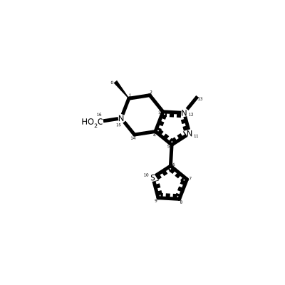 C[C@H]1Cc2c(c(-c3cccs3)nn2C)CN1C(=O)O